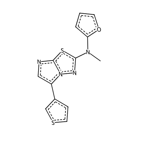 CN(c1ccco1)c1nn2c(-c3ccsc3)cnc2s1